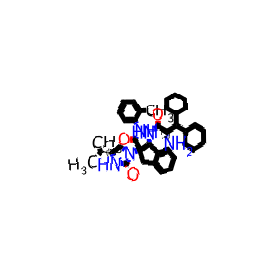 Cc1ccccc1NC(=O)C1(N2C[C@@H](C(C)C)NC2=O)Cc2ccccc2C1NC(=O)[C@@H](N)C(C1CCCCC1)C1CCCCC1